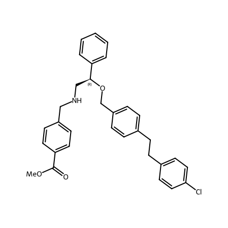 COC(=O)c1ccc(CNC[C@H](OCc2ccc(CCc3ccc(Cl)cc3)cc2)c2ccccc2)cc1